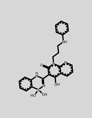 O=c1c(C2=NS(O)(O)c3ccccc3N2)c(O)c2cccnc2n1CCCNc1ccccc1